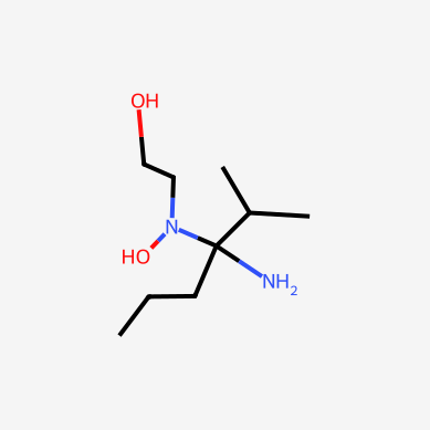 CCCC(N)(C(C)C)N(O)CCO